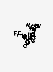 Cc1ccncc1NCc1ccc(C(=O)Nc2ccc(Cl)cc2N2CCN(CCC(F)(F)F)CC2)c(F)c1